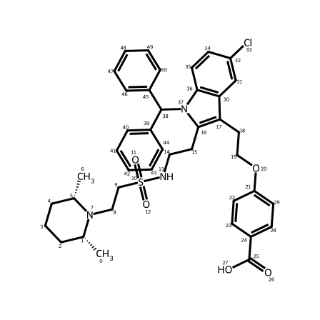 C[C@@H]1CCC[C@H](C)N1CCS(=O)(=O)NCCc1c(CCOc2ccc(C(=O)O)cc2)c2cc(Cl)ccc2n1C(c1ccccc1)c1ccccc1